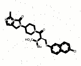 Cc1ncc2n1C(=O)N(C1CCN(C(=O)[C@@H](CSc3ccc4cc(Cl)ccc4c3)N(C(=O)O)C(C)(C)C)CC1)C2